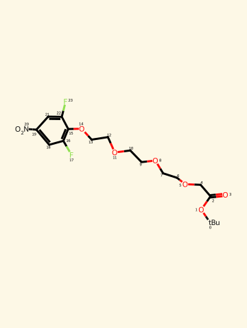 CC(C)(C)OC(=O)COCCOCCOCCOc1c(F)cc([N+](=O)[O-])cc1F